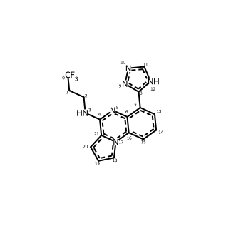 FC(F)(F)CCNc1nc2c(-c3nnc[nH]3)cccc2n2cccc12